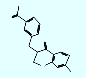 O=C(O)c1cccc(CC2COc3cc(O)ccc3C2=O)c1